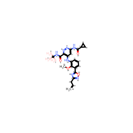 BC(B)(B)NC(=O)c1nnc(NC(=O)C2CC2)cc1Nc1cccc(-c2nc(CC=C)no2)c1OC